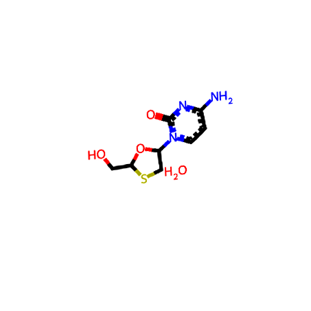 Nc1ccn(C2CSC(CO)O2)c(=O)n1.O